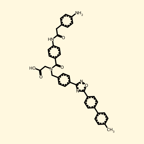 Cc1ccc(-c2ccc(-c3nc(-c4ccc(CN(CC(=O)O)C(=O)c5ccc(NC(=O)Cc6ccc(N)cc6)cc5)cc4)no3)cc2)cc1